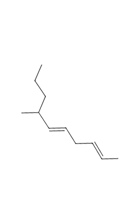 CC=CCC=CC(C)CCC